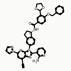 C#Cc1cc(-n2cccn2)nc2c1nc(-c1cccnc1N)n2-c1ccc2c(c1)CC[C@@H]2NC(=O)c1ccc(OCc2ccccc2)c(C2OCCO2)c1